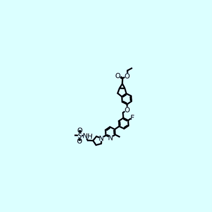 CCOC(=O)C1C2Cc3cc(OCc4cc(-c5ccc(N6CCC(CNS(C)(=O)=O)C6)nc5C)ccc4F)ccc3C21